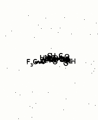 Cc1cc(N2C(=O)CNC2=O)ccc1CCS(=O)(=O)N1CCC2(CC1)N=C(C1CCC(CCCC(F)(F)F)CC1)NC2=O